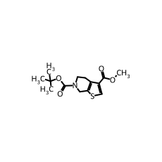 COC(=O)c1csc2c1CCN(C(=O)OC(C)(C)C)C2